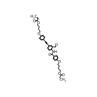 C=CC(=O)OCCCCOc1ccc(C#Cc2ccc(NC(=O)c3ccc(OCCCCOC(=O)C=C)cc3)c(C=O)c2)cc1